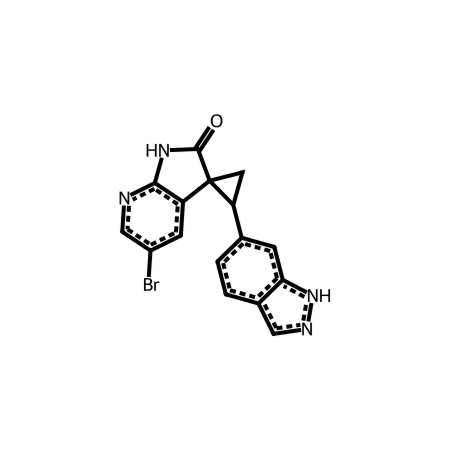 O=C1Nc2ncc(Br)cc2C12CC2c1ccc2cn[nH]c2c1